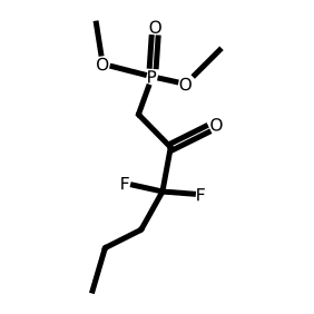 CCCC(F)(F)C(=O)CP(=O)(OC)OC